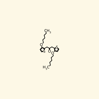 CCCCCCOc1ccsc1CC(=O)Cc1sccc1OCCCCCC